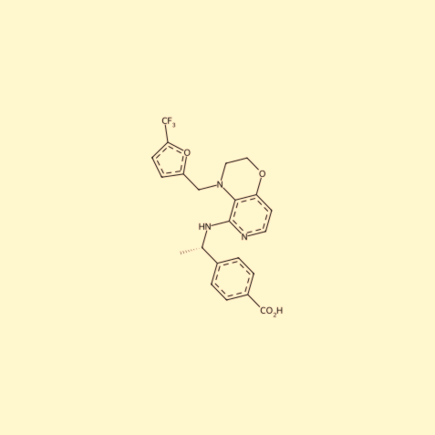 C[C@H](Nc1nccc2c1N(Cc1ccc(C(F)(F)F)o1)CCO2)c1ccc(C(=O)O)cc1